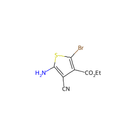 CCOC(=O)c1c(Br)sc(N)c1C#N